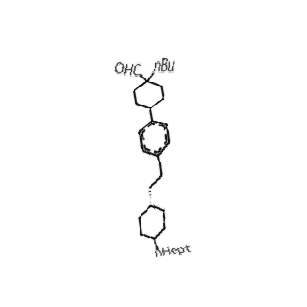 CCCCCCC[C@H]1CC[C@H](CCc2ccc(C3CCC(C=O)(CCCC)CC3)cc2)CC1